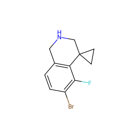 Fc1c(Br)ccc2c1C1(CC1)CNC2